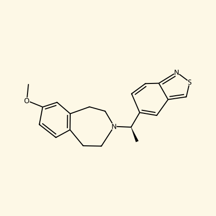 COc1ccc2c(c1)CCN([C@H](C)c1ccc3nscc3c1)CC2